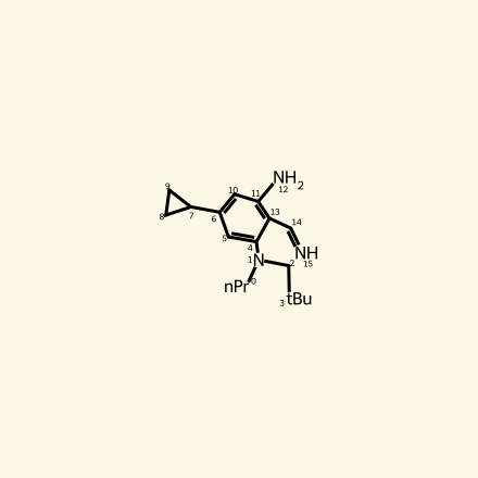 CCCN(CC(C)(C)C)c1cc(C2CC2)cc(N)c1C=N